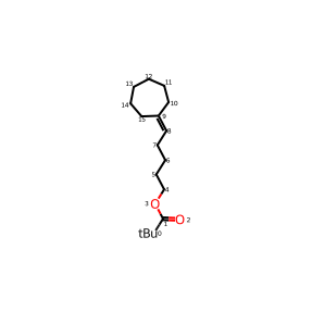 CC(C)(C)C(=O)OCCCCC=C1CCCCCC1